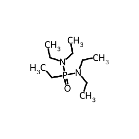 CCN(CC)P(=O)(CC)N(CC)CC